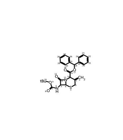 C=C1CSC2C(NC(=O)OC(C)(C)C)C(=O)N2C1C(=O)OC(c1ccccc1)c1ccccc1